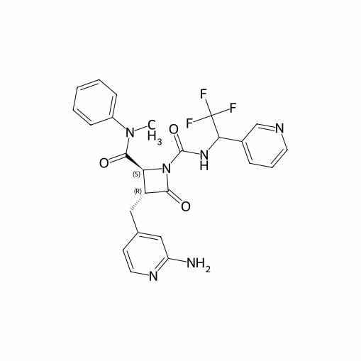 CN(C(=O)[C@@H]1[C@@H](Cc2ccnc(N)c2)C(=O)N1C(=O)NC(c1cccnc1)C(F)(F)F)c1ccccc1